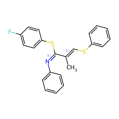 CC(=C\Sc1ccccc1)/C(=N\c1ccccc1)Sc1ccc(F)cc1